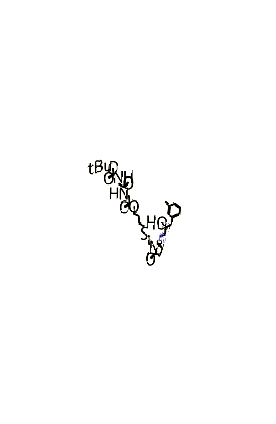 Cc1cccc(C[C@H](O)/C=C/[C@H]2CCC(=O)N2CCSCCCCOC(=O)CNC(=O)CNC(=O)OC(C)(C)C)c1